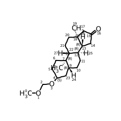 COCO[C@H]1CC[C@]2(C)[C@H](CC[C@@H]3[C@H]4CC(=O)C[C@]4(C)CC[C@H]32)C1